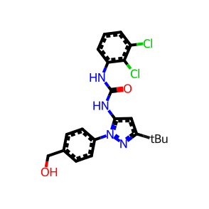 CC(C)(C)c1cc(NC(=O)Nc2cccc(Cl)c2Cl)n(-c2ccc(CO)cc2)n1